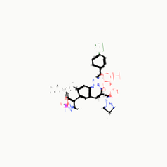 COc1cc2c(cc1-c1c(C)noc1C)cc(C(=O)N1CCC1)c(=O)n2CC(O)c1ccc(Cl)cc1